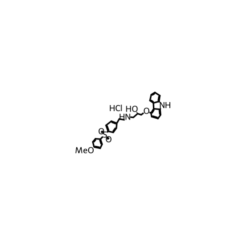 COc1ccc(S(=O)(=O)c2ccc(CCNC[C@H](O)COc3cccc4[nH]c5ccccc5c34)cc2)cc1.Cl